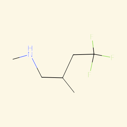 CNCC(C)CC(F)(F)F